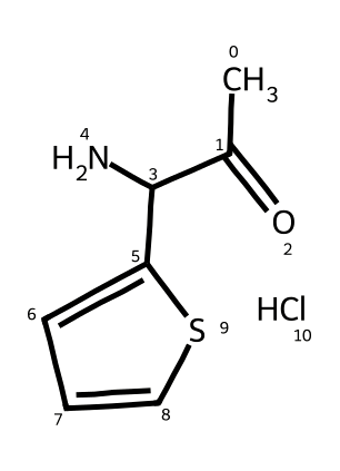 CC(=O)C(N)c1cccs1.Cl